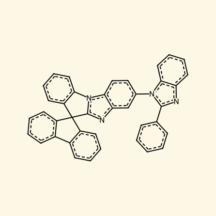 c1ccc(-c2nc3ccccc3n2-c2ccc3c(c2)nc2n3-c3ccccc3C23c2ccccc2-c2ccccc23)cc1